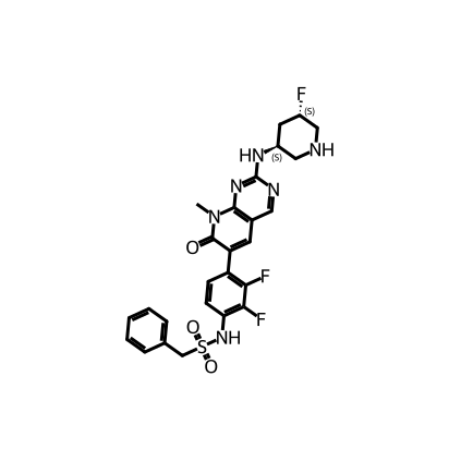 Cn1c(=O)c(-c2ccc(NS(=O)(=O)Cc3ccccc3)c(F)c2F)cc2cnc(N[C@@H]3CNC[C@@H](F)C3)nc21